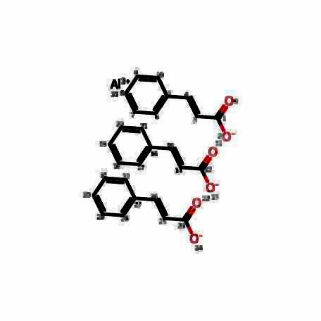 O=C([O-])C=Cc1ccccc1.O=C([O-])C=Cc1ccccc1.O=C([O-])C=Cc1ccccc1.[Al+3]